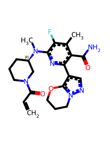 C=CC(=O)N1CCC[C@@H](N(C)c2nc(-c3cnn4c3OCCC4)c(C(N)=O)c(C)c2F)C1